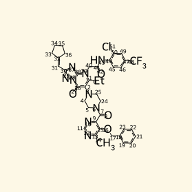 CCc1c(N2CCN(C(=O)c3ncnc(C)c3OCc3ccccc3)CC2)c(=O)n2nc(C=C3CCCC3)nc2n1CC(=O)Nc1ccc(C(F)(F)F)cc1Cl